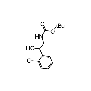 CC(C)(C)OC(=O)NCC(O)c1ccccc1Cl